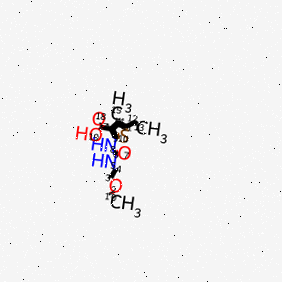 CCOCCNC(=O)Nc1sc(CC)c(C)c1C(=O)O